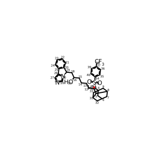 O=S(=O)(NC12CC3CC(C1)C(CCCCCC(O)CC1c4ccccc4-c4cncn41)C(C3)C2)c1ccc(C(F)(F)F)cc1